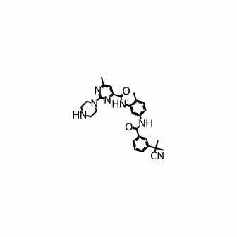 Cc1cc(C(=O)Nc2cc(NC(=O)c3cccc(C(C)(C)C#N)c3)ccc2C)nc(N2CCNCC2)n1